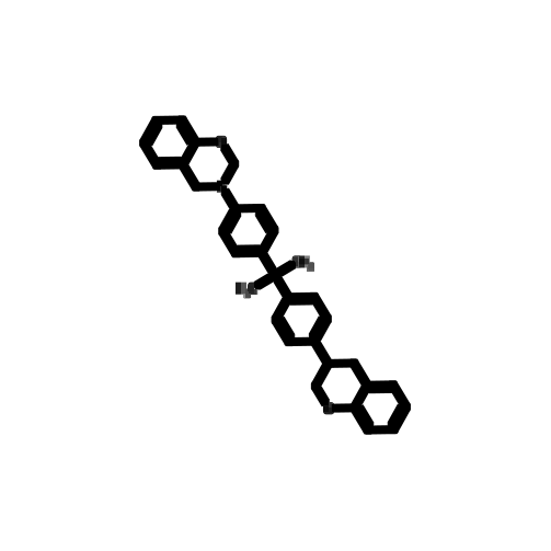 CC(C)(c1ccc(C2COc3ccccc3C2)cc1)c1ccc(N2COc3ccccc3C2)cc1